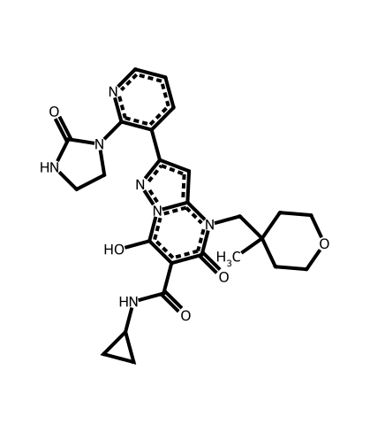 CC1(Cn2c(=O)c(C(=O)NC3CC3)c(O)n3nc(-c4cccnc4N4CCNC4=O)cc23)CCOCC1